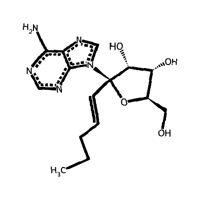 CCC/C=C/[C@@]1(n2cnc3c(N)ncnc32)O[C@H](CO)[C@@H](O)[C@H]1O